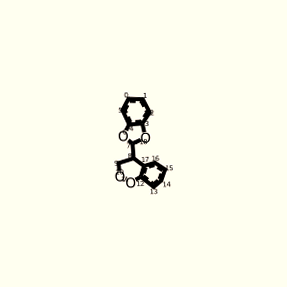 c1ccc2c(c1)O[C](C1COOc3ccccc31)O2